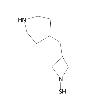 SN1CC(CC2CCNCC2)C1